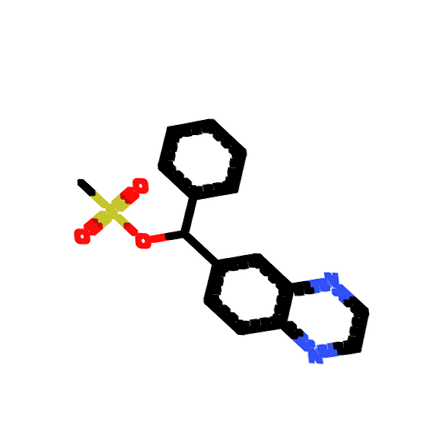 CS(=O)(=O)OC(c1ccccc1)c1ccc2nccnc2c1